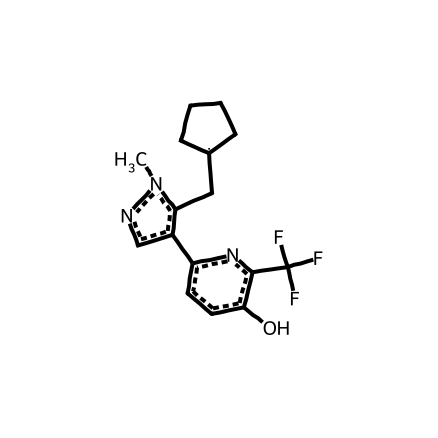 Cn1ncc(-c2ccc(O)c(C(F)(F)F)n2)c1C[C]1CCCC1